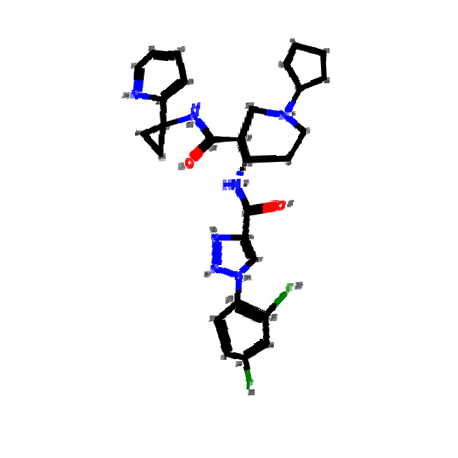 O=C(N[C@H]1CCN(C2CCCC2)C[C@@H]1C(=O)NC1(c2ccccn2)CC1)c1cn(-c2ccc(F)cc2F)nn1